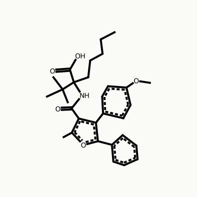 CCCCCC(NC(=O)c1c(C)oc(-c2ccccc2)c1-c1ccc(OC)cc1)(C(=O)O)C(C)(C)C